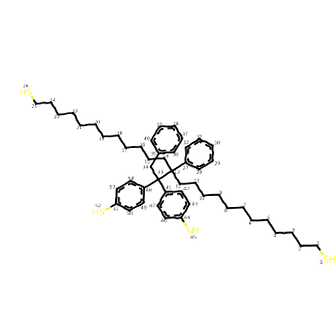 SCCCCCCCCCCCCC(CCCCCCCCCCCCS)(c1ccccc1)C(Cc1ccccc1)(c1ccc(S)cc1)c1ccc(S)cc1